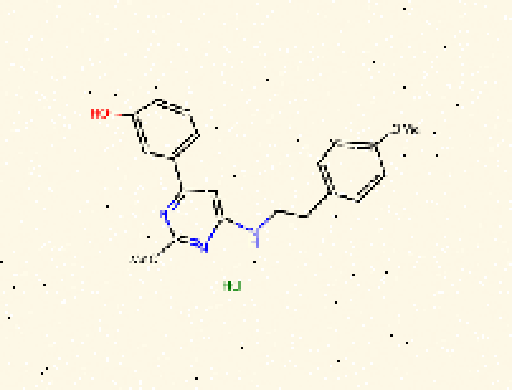 COc1ccc(CCNc2cc(-c3cccc(O)c3)nc(OC)n2)cc1.Cl